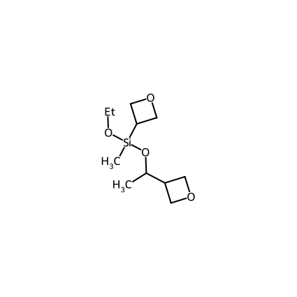 CCO[Si](C)(OC(C)C1COC1)C1COC1